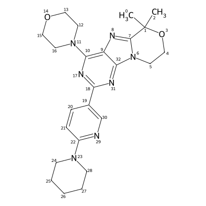 CC1(C)OCCn2c1nc1c(N3CCOCC3)nc(-c3ccc(N4CCCCC4)nc3)nc12